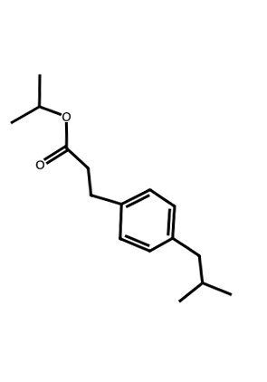 CC(C)Cc1ccc(CCC(=O)OC(C)C)cc1